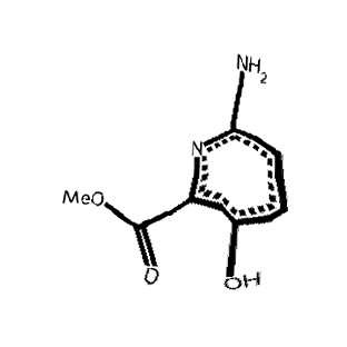 COC(=O)c1nc(N)ccc1O